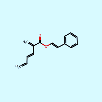 C=CC=CC(=C)C(=O)OC=Cc1ccccc1